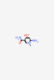 C[n+]1cc(C(N)=O)ccc1N.[OH-]